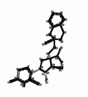 O=c1ccn([C@@H]2O[C@@](COP3(=S)OCc4ccccc4O3)(C(F)F)[C@@H](O)[C@@H]2F)c(=O)[nH]1